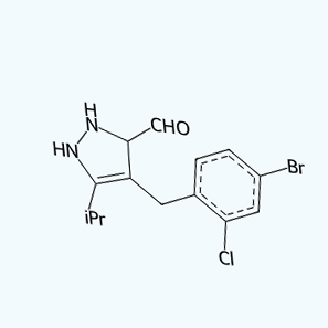 CC(C)C1=C(Cc2ccc(Br)cc2Cl)C(C=O)NN1